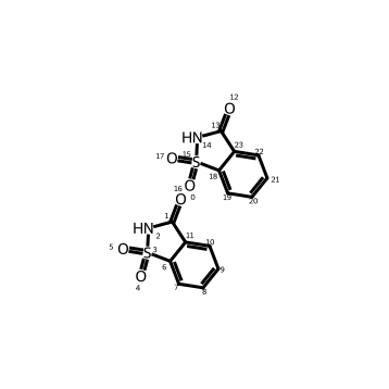 O=C1NS(=O)(=O)c2ccccc21.O=C1NS(=O)(=O)c2ccccc21